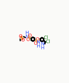 CCS(=O)(=O)CCNS(=O)(=O)c1ccc(S(=O)(=O)Nc2ccc(Cl)c3c(Cl)c[nH]c23)cc1